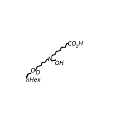 CCCCCC/C=C\COC(=O)CCCCCN(CCO)CCCCCCCC(=O)O